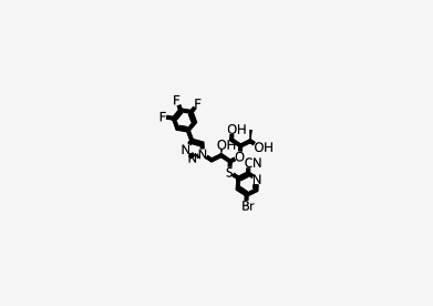 C[C@@H](O)C(CO)OC(Sc1cc(Br)cnc1C#N)[C@@H](O)Cn1cc(-c2cc(F)c(F)c(F)c2)nn1